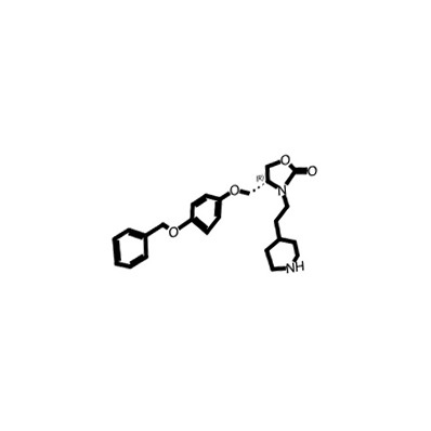 O=C1OC[C@@H](COc2ccc(OCc3ccccc3)cc2)N1CCC1CCNCC1